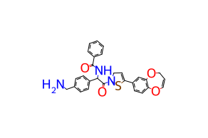 NCc1ccc(C(NC(=O)c2ccccc2)C(=O)N2CC=C(c3ccc4c(c3)OCC=CO4)S2)cc1